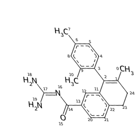 CC1=C(c2ccc(C)cc2C)c2cc(C(=O)N=C(N)N)ccc2CC1